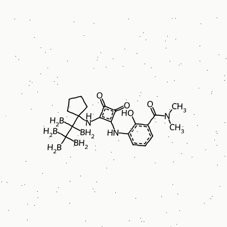 BC(B)(B)C(B)(B)C1(Nc2c(Nc3cccc(C(=O)N(C)C)c3O)c(=O)c2=O)CCCC1